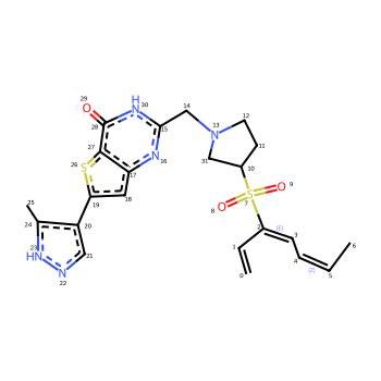 C=C/C(=C\C=C/C)S(=O)(=O)C1CCN(Cc2nc3cc(-c4cn[nH]c4C)sc3c(=O)[nH]2)C1